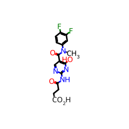 CN(C(=O)c1cnc(NC(=O)CCC(=O)O)nc1O)c1ccc(F)c(F)c1